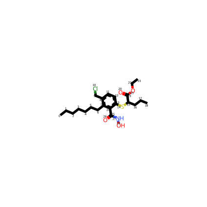 CCCCCCCc1c(CCl)ccc(SC(CCC)C(=O)OCC)c1C(=O)NO